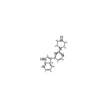 c1cnc2[nH]cc(-c3ccnc(N4CCNCC4)n3)c2c1